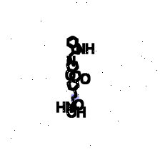 O=C(/C=C/c1ccc2c(c1)C(=O)CC1(CCN(Cc3c[nH]c4ccccc34)CC1)O2)NO